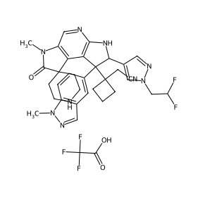 CN1C(=O)C2(CCNCC2)c2c1cnc1c2C(c2ccc3c(cnn3C)c2)(C2(CC#N)CCC2)C(c2cnn(CC(F)F)c2)N1.O=C(O)C(F)(F)F